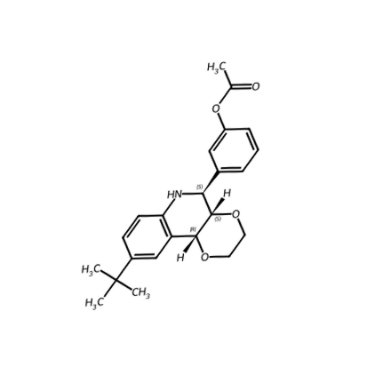 CC(=O)Oc1cccc([C@@H]2Nc3ccc(C(C)(C)C)cc3[C@H]3OCCO[C@H]32)c1